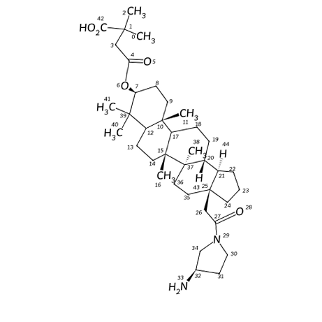 CC(C)(CC(=O)O[C@H]1CC[C@@]2(C)C(CC[C@]3(C)C2CC[C@@H]2[C@H]4CCC[C@]4(CC(=O)N4CC[C@@H](N)C4)CC[C@]23C)C1(C)C)C(=O)O